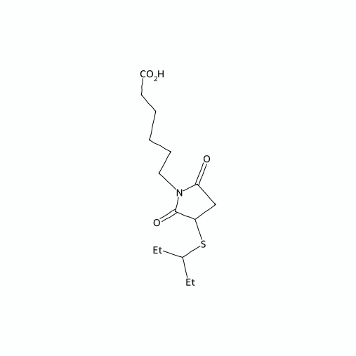 CCC(CC)SC1CC(=O)N(CCCCCC(=O)O)C1=O